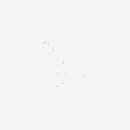 CC1(Nc2nc(-c3ccnc(Nc4ccn5nccc5c4)c3)nc3cncc(C4CC4)c23)CCNCC1